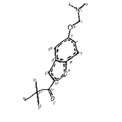 CN(C)COc1ccc2oc(C(=O)C(C)(C)C)cc2c1